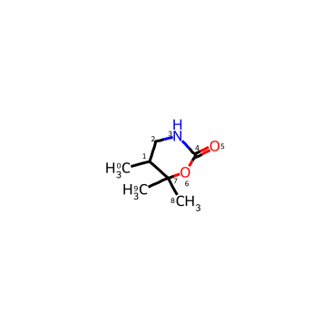 CC1CNC(=O)OC1(C)C